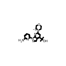 C[C@@H]1COCCN1c1cc(C(C)(C)O)c2cnn(-c3cccc(N)n3)c2n1